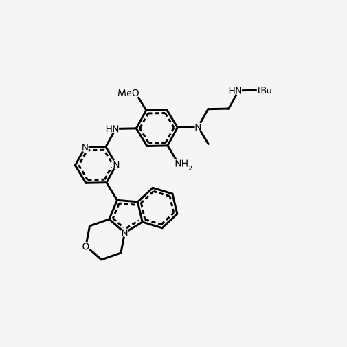 COc1cc(N(C)CCNC(C)(C)C)c(N)cc1Nc1nccc(-c2c3n(c4ccccc24)CCOC3)n1